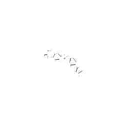 Cc1csc(-c2ccc(NS(=O)(=O)c3cc4[nH]c(=O)c(=O)[nH]c4cc3C)cc2Cl)c1